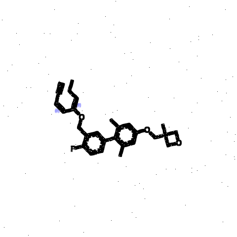 C#C/C=C\C(=C/CC)OCc1cc(-c2c(C)cc(OCC3(C)COC3)cc2C)ccc1F